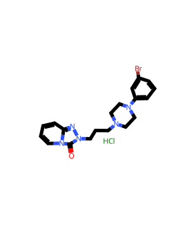 Cl.O=c1n(CCCN2CCN(c3cccc(Br)c3)CC2)nc2ccccn12